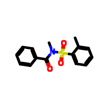 Cc1ccccc1S(=O)(=O)N(C)C(=O)c1ccccc1